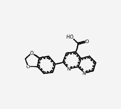 O=C(O)c1cc(-c2ccc3c(c2)OCO3)nc2ncccc12